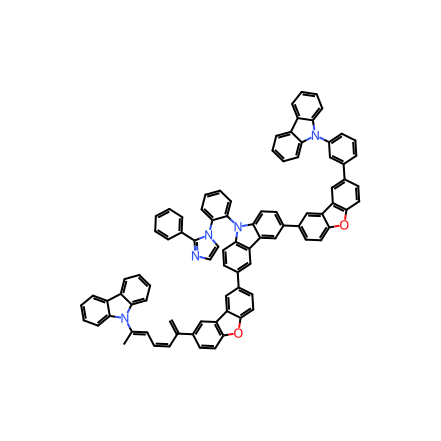 C=C(/C=C\C=C(/C)n1c2ccccc2c2ccccc21)c1ccc2oc3ccc(-c4ccc5c(c4)c4cc(-c6ccc7oc8ccc(-c9cccc(-n%10c%11ccccc%11c%11ccccc%11%10)c9)cc8c7c6)ccc4n5-c4ccccc4-n4ccnc4-c4ccccc4)cc3c2c1